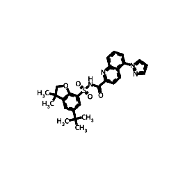 CC(C)(C)c1cc2c(c(S(=O)(=O)NC(=O)c3ccc4c(-n5cccn5)cccc4n3)c1)OCC2(C)C